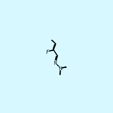 CC=C(F)C=NN(C)C